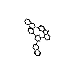 c1ccc(-c2nc(-c3ccc4ccccc4c3)nc(-c3cccc4oc5ccc(-c6ccc7ccccc7c6)cc5c34)n2)cc1